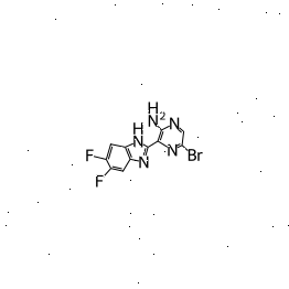 Nc1ncc(Br)nc1-c1nc2cc(F)c(F)cc2[nH]1